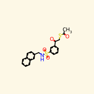 CC(=O)SCC(=O)c1cccc(S(=O)(=O)NCc2ccc3ccccc3c2)c1